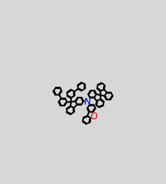 c1ccc(-c2cccc(C3(c4cccc(-c5ccccc5)c4)c4ccccc4-c4cc(N(c5ccc6oc7ccccc7c6c5)c5cccc6c5-c5ccccc5C65c6ccccc6-c6ccccc65)ccc43)c2)cc1